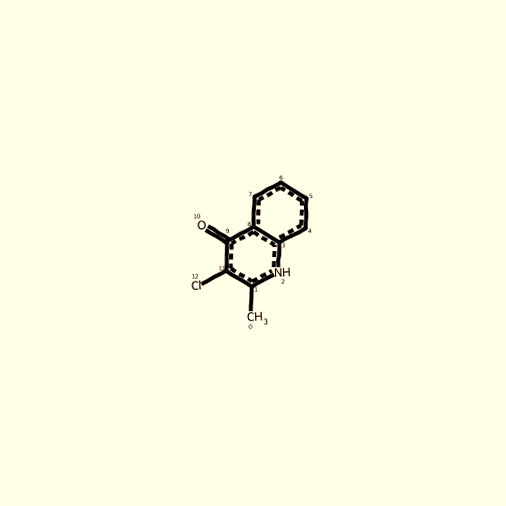 Cc1[nH]c2ccccc2c(=O)c1Cl